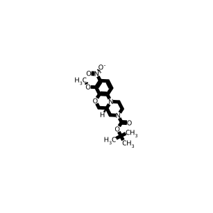 COc1c([N+](=O)[O-])ccc2c1OC[C@H]1CN(C(=O)OC(C)(C)C)CCN21